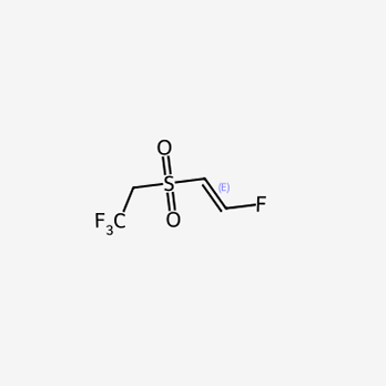 O=S(=O)(/C=C/F)CC(F)(F)F